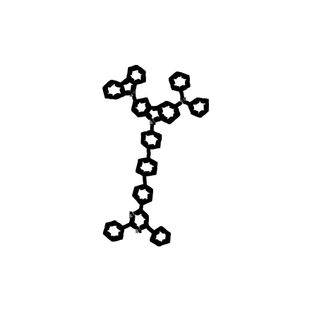 c1ccc(-c2cc(-c3ccc(-c4ccc(-c5ccc(-n6c7ccc(N(c8ccccc8)c8ccccc8)cc7c7cc(-n8c9ccccc9c9ccccc98)ccc76)cc5)cc4)cc3)nc(-c3ccccc3)n2)cc1